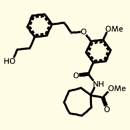 COC(=O)C1(NC(=O)c2ccc(OC)c(OCCc3cccc(CCO)c3)c2)CCCCCC1